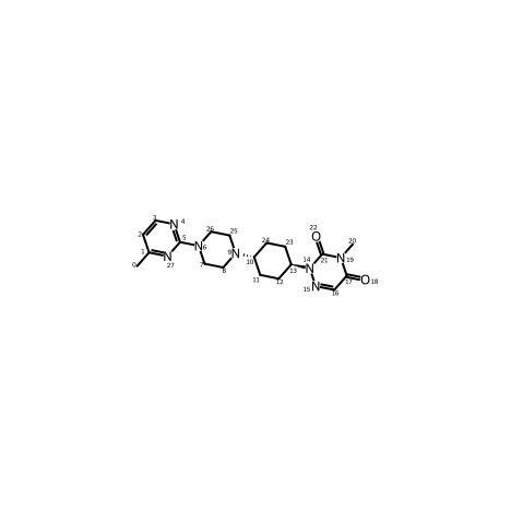 Cc1ccnc(N2CCN([C@H]3CC[C@H](n4ncc(=O)n(C)c4=O)CC3)CC2)n1